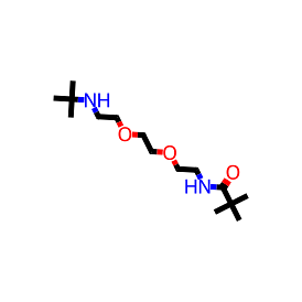 CC(C)(C)NCCOCCOCCNC(=O)C(C)(C)C